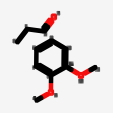 CCC=O.COc1ccccc1OC